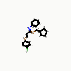 Fc1ccc(SC=CC(=Nc2ccccc2)SCC2CCCC2)cc1